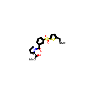 CNCc1ccc(S(=O)(=O)c2cccc(C(=O)N3CCC[C@@H]3C(=O)OC)c2)s1